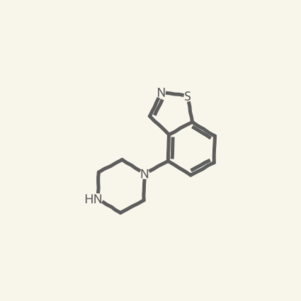 c1cc(N2CCNCC2)c2cnsc2c1